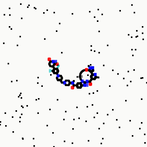 Cc1cc2cc(n1)-c1cnn(C)c1OCCC[C@@H](C)CN1/C(=N/C2=O)Nc2ccc(C(=O)N(C)C3CCN(CC4CCN(c5cc(F)c([C@H]6CCC(=O)NC6=O)c(F)c5)CC4)CC3)cc21